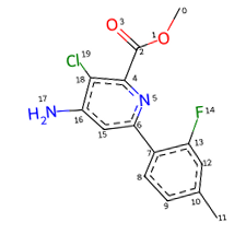 COC(=O)c1nc(-c2ccc(C)cc2F)cc(N)c1Cl